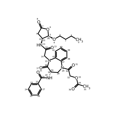 CCCCO[C@@H]1OC(=O)C[C@@H]1NC(=O)CN1C(=O)[C@@H](NC(=O)c2ccccc2)CN(C(=O)COC(C)=O)c2ccccc21